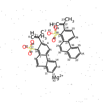 C=C(C)c1ccc2c(ccc3ccccc32)c1S(=O)(=O)[O-].C=C(C)c1ccc2c(ccc3ccccc32)c1S(=O)(=O)[O-].[Mg+2]